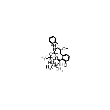 CC(C)(C)NC(=O)c1c(Cl)cccc1C[C@@H](O)[C@@H](Cc1ccccc1F)NC(=O)OC(C)(C)C